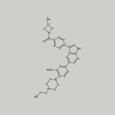 COc1cc(-c2cnc3[nH]cc(-c4ccc(C(=O)N5CC(O)C5)cc4)c3c2)ccc1N1CCN(CCO)CC1